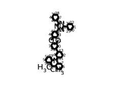 CC1(C)c2ccccc2N(c2cccc(-c3ccc4c(c3)Oc3cc(-c5nc(-c6ccccc6)nc(-c6ccccc6)n5)ccc3O4)c2)c2ccccc21